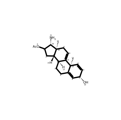 CC(=O)OC1C[C@H]2[C@@H]3CCC4=C[C@@H](O)C=C[C@]4(C)C3=CC[C@]2(C)[C@H]1N